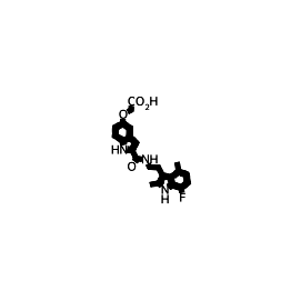 Cc1[nH]c2c(F)ccc(C)c2c1CCNC(=O)c1cc2cc(OCC(=O)O)ccc2[nH]1